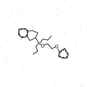 CCC[N+](CCC)(OCCOc1ccccc1)C1CCc2ccccc2C1